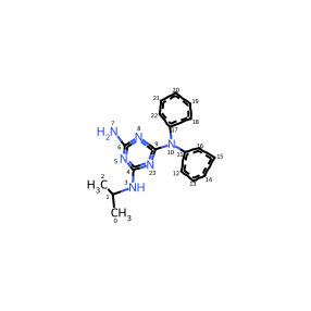 CC(C)Nc1nc(N)nc(N(c2ccccc2)c2ccccc2)n1